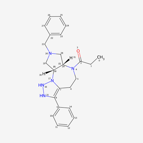 CCC(=O)N1CCC2=C(c3ccccc3)NNN2[C@@H]2CN(Cc3ccccc3)C[C@@H]21